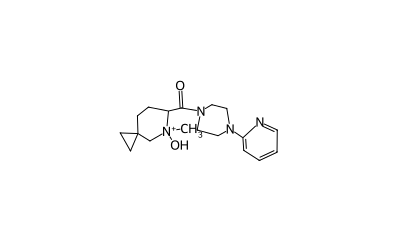 C[N+]1(O)CC2(CCC1C(=O)N1CCN(c3ccccn3)CC1)CC2